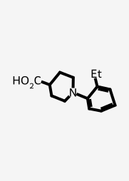 CCc1ccccc1N1CCC(C(=O)O)CC1